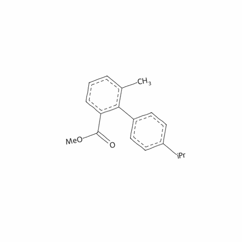 COC(=O)c1cccc(C)c1-c1ccc(C(C)C)cc1